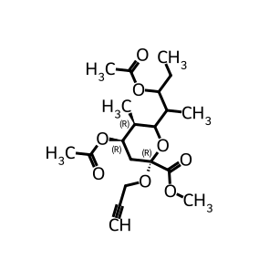 C#CCO[C@]1(C(=O)OC)C[C@@H](OC(C)=O)[C@@H](C)C(C(C)C(CC)OC(C)=O)O1